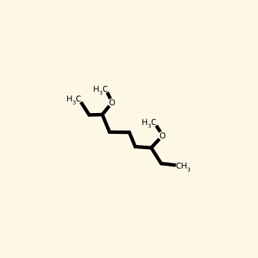 CCC(CCCC(CC)OC)OC